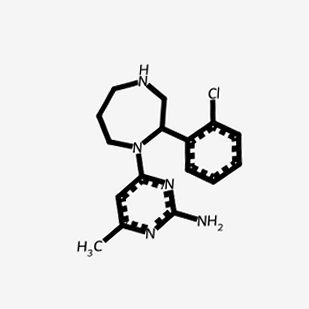 Cc1cc(N2CCCNCC2c2ccccc2Cl)nc(N)n1